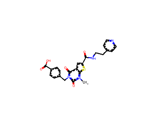 Cn1c(=O)n(Cc2ccc(C(=O)O)cc2)c(=O)c2cc(C(=O)NCCc3ccncc3)sc21